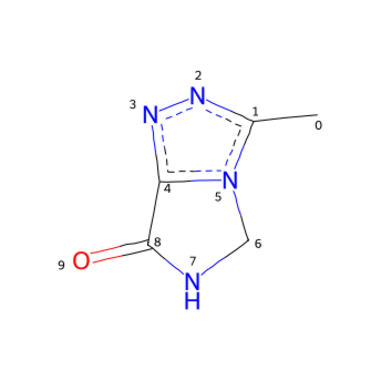 Cc1nnc2n1CNC2=O